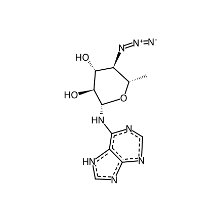 C[C@@H]1O[C@H](Nc2ncnc3nc[nH]c23)[C@@H](O)[C@H](O)[C@H]1N=[N+]=[N-]